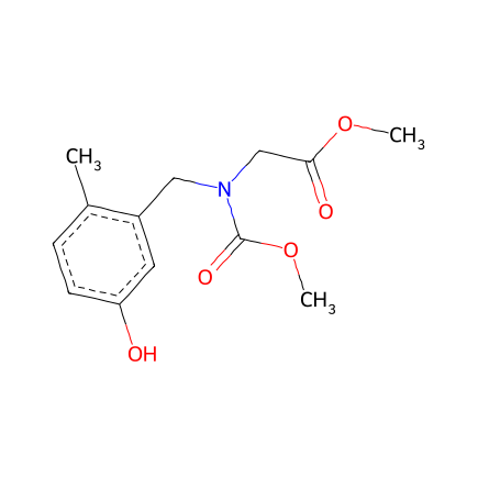 COC(=O)CN(Cc1cc(O)ccc1C)C(=O)OC